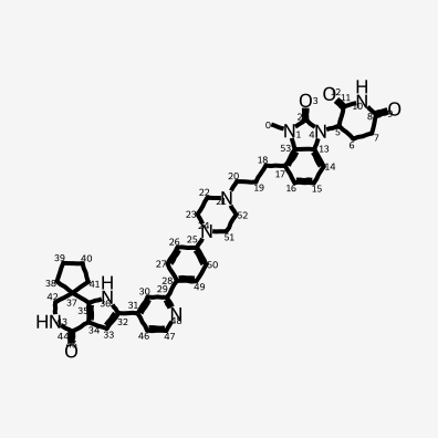 Cn1c(=O)n(C2CCC(=O)NC2=O)c2cccc(CCCN3CCN(c4ccc(-c5cc(-c6cc7c([nH]6)C6(CCCC6)CNC7=O)ccn5)cc4)CC3)c21